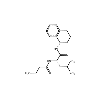 CCCC(=O)N[C@@H](CC(C)C)C(=O)N[C@H]1CCCc2ccccc21